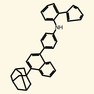 c1ccc(-c2ccccc2Nc2ccc(-c3ccc(C45CC6CC(CC(C6)C4)C5)c4ccccc34)cc2)cc1